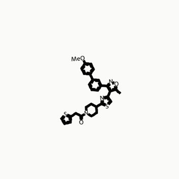 COc1ccc(-c2cccc(-c3noc(C)c3-c3csc(C4CCN(C(=O)Cc5cccs5)CC4)n3)c2)cc1